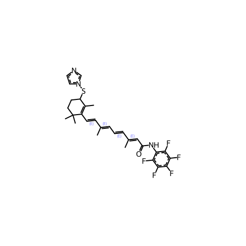 CC1=C(/C=C/C(C)=C/C=C/C(C)=C/C(=O)Nc2c(F)c(F)c(F)c(F)c2F)C(C)(C)CCC1Sn1ccnc1